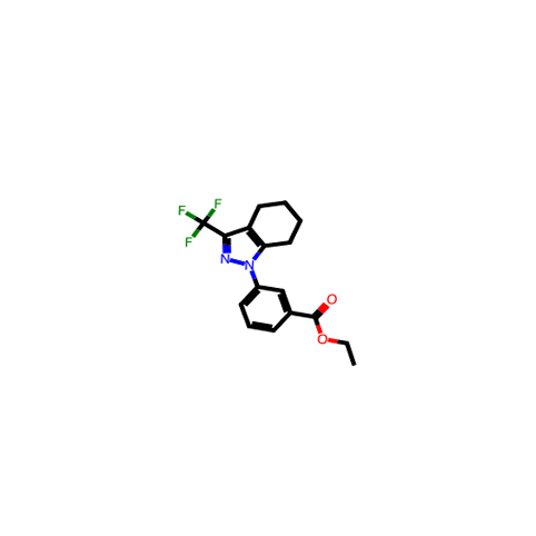 CCOC(=O)c1cccc(-n2nc(C(F)(F)F)c3c2CCCC3)c1